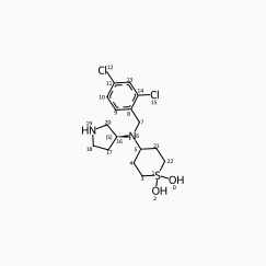 OS1(O)CCC(N(Cc2ccc(Cl)cc2Cl)[C@H]2CCNC2)CC1